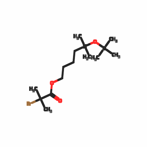 CC(C)(Br)C(=O)OCCCC[Si](C)(C)O[Si](C)(C)C